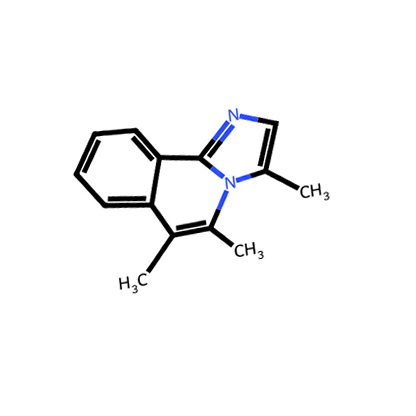 Cc1c(C)n2c(C)cnc2c2ccccc12